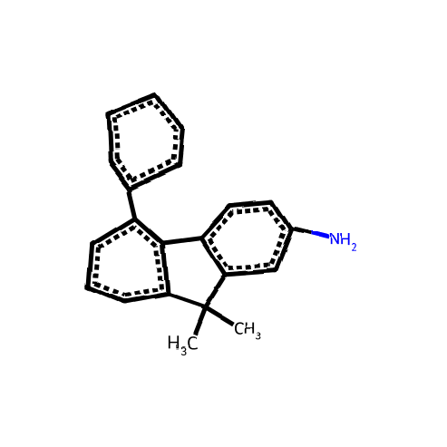 CC1(C)c2cc(N)ccc2-c2c(-c3ccccc3)cccc21